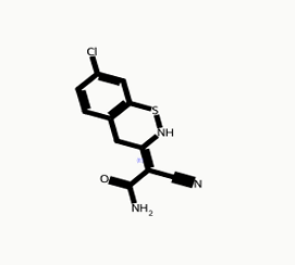 N#C/C(C(N)=O)=C1/Cc2ccc(Cl)cc2SN1